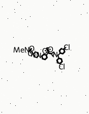 CNC(=O)ON1CCN(c2cccc(C(=C3CN(C(c4ccc(Cl)cc4)c4ccc(Cl)cc4)C3)S(C)(=O)=O)c2)CC1